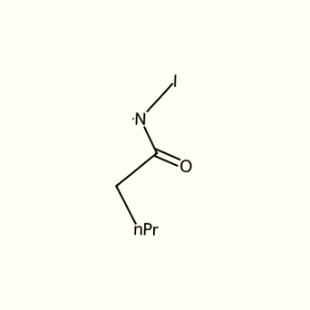 CCCCC(=O)[N]I